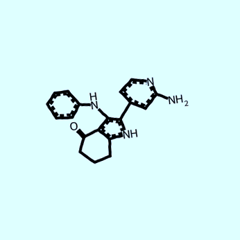 Nc1cc(-c2[nH]c3c(c2Nc2ccccc2)C(=O)CCC3)ccn1